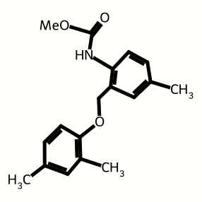 COC(=O)Nc1ccc(C)cc1COc1ccc(C)cc1C